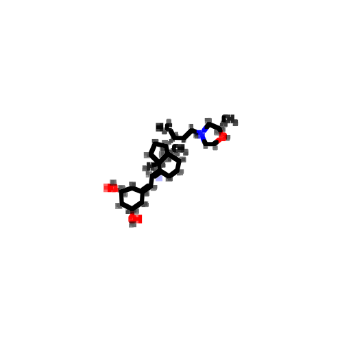 CC(CCN1CCO[C@@H](C)C1)[C@H]1CC[C@H]2/C(=C/C=C3C[C@@H](O)C[C@H](O)C3)CCC[C@]12C